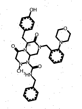 CN1CC(=O)N2C(CN(Cc3ccccc3N3CCOCC3)C(=O)[C@@H]2Cc2ccc(O)cc2)N1C(=O)NCc1ccccc1